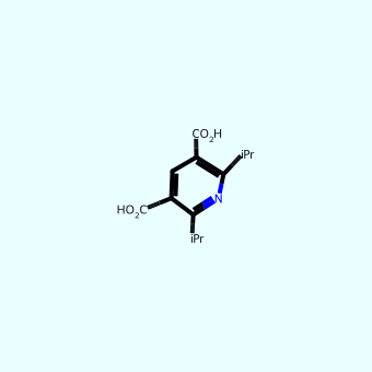 CC(C)c1nc(C(C)C)c(C(=O)O)cc1C(=O)O